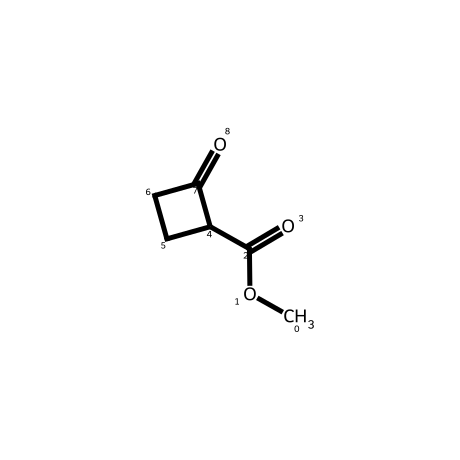 COC(=O)C1CCC1=O